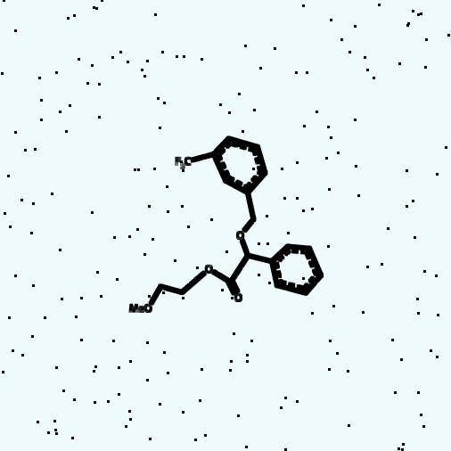 COCCOC(=O)C(OCc1cccc(C(F)(F)F)c1)c1ccccc1